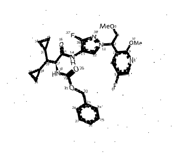 COCC(c1cc(F)cnc1OC)n1cc(NC(=O)[C@@H](NC(=O)OCc2ccccc2)C(C2CC2)C2CC2)c(F)n1